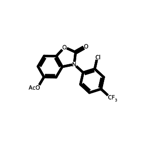 CC(=O)Oc1ccc2oc(=O)n(-c3ccc(C(F)(F)F)cc3Cl)c2c1